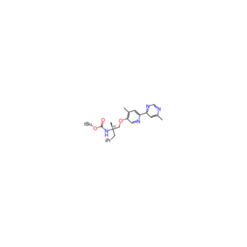 Cc1cc(-c2cc(C)c(OC[C@](C)(CC(C)C)NC(=O)OC(C)(C)C)cn2)ncn1